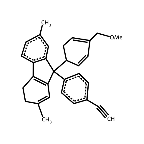 C#Cc1ccc(C2(C3C=CC(COC)=CC3)C3=C(CCC(C)=C3)c3ccc(C)cc32)cc1